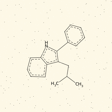 CC(C)Cc1c(-c2ccccc2)[nH]c2ccccc12